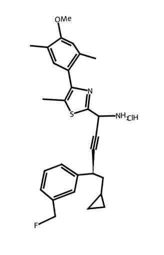 COc1cc(C)c(-c2nc(C(N)C#C[C@@H](CC3CC3)c3cccc(CF)c3)sc2C)cc1C.Cl